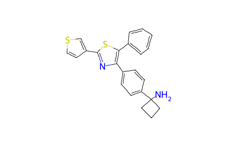 NC1(c2ccc(-c3nc(-c4ccsc4)sc3-c3ccccc3)cc2)CCC1